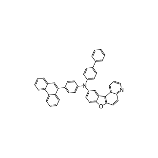 c1ccc(-c2ccc(N(c3ccc(-c4cc5ccccc5c5ccccc45)cc3)c3ccc4oc5ccc6ncccc6c5c4c3)cc2)cc1